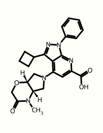 CN1C(=O)CO[C@@H]2CN(c3cc(C(=O)O)nc4c3c(C3CCC3)nn4-c3ccccc3)C[C@@H]21